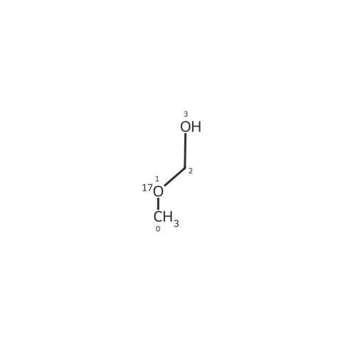 C[17O]CO